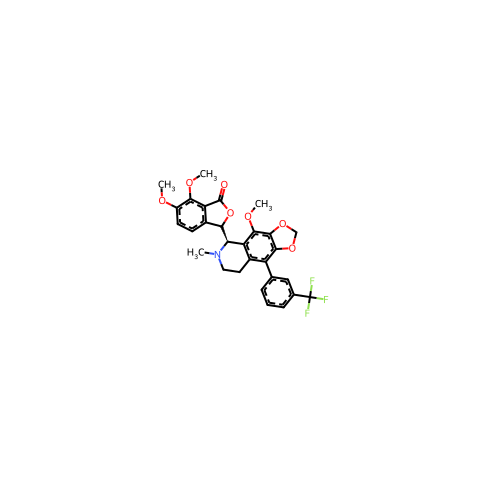 COc1ccc2c(c1OC)C(=O)OC2[C@H]1c2c(c(-c3cccc(C(F)(F)F)c3)c3c(c2OC)OCO3)CCN1C